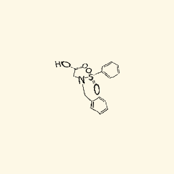 O=C(O)CN(Cc1ccccc1)S(=O)(=O)c1ccccc1